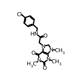 CN1CN(CC(=O)NCc2ccc(Cl)cc2)c2c1n(C)c(=O)n(C)c2=O